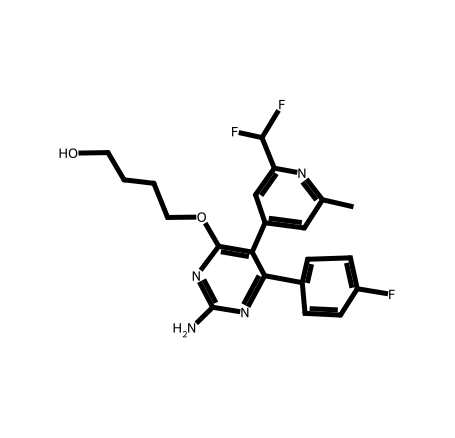 Cc1cc(-c2c(OCCCCO)nc(N)nc2-c2ccc(F)cc2)cc(C(F)F)n1